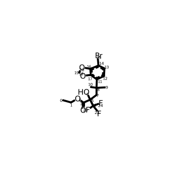 CCOC(=O)C(O)(CC(C)(C)c1ccc(Br)c2c1OCO2)C(F)(F)F